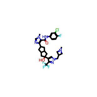 CN1CC(Cn2cc(C3(O)CC4CC(c5ncn(C)c5C(=O)Nc5ccc(F)c(Cl)c5)CC4C3)c(C(F)(F)F)n2)C1